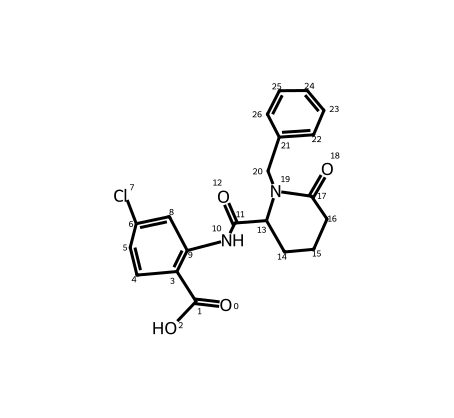 O=C(O)c1ccc(Cl)cc1NC(=O)C1CCCC(=O)N1Cc1ccccc1